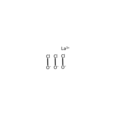 [La+3].[O-]Cl.[O-]Cl.[O-]Cl